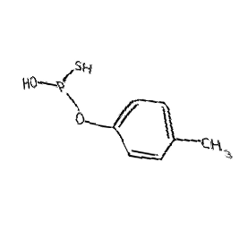 Cc1ccc(OP(O)S)cc1